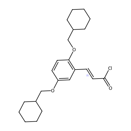 O=C(Cl)/C=C/c1cc(OCC2CCCCC2)ccc1OCC1CCCCC1